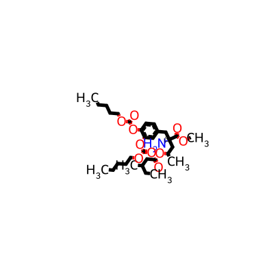 CCCCCOC(=O)Oc1ccc(C[C@](N)(CC(C)OC(=O)CC(C)CC)C(=O)OC)cc1OC(=O)OCCCCC